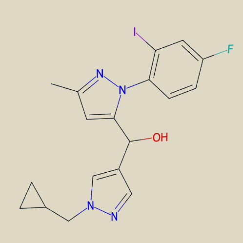 Cc1cc(C(O)c2cnn(CC3CC3)c2)n(-c2ccc(F)cc2I)n1